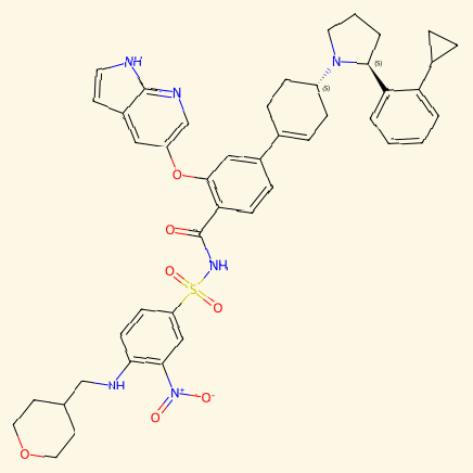 O=C(NS(=O)(=O)c1ccc(NCC2CCOCC2)c([N+](=O)[O-])c1)c1ccc(C2=CC[C@@H](N3CCC[C@H]3c3ccccc3C3CC3)CC2)cc1Oc1cnc2[nH]ccc2c1